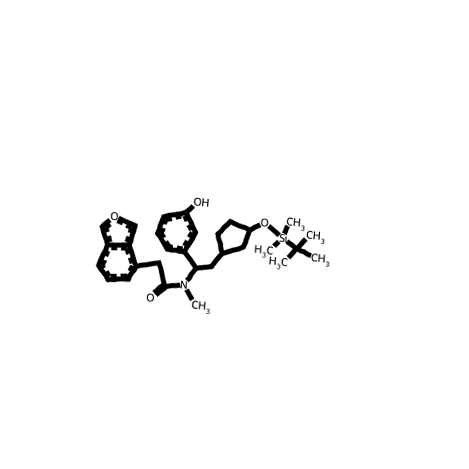 CN(C(=O)Cc1cccc2cocc12)C(CC1CCC(O[Si](C)(C)C(C)(C)C)C1)c1cccc(O)c1